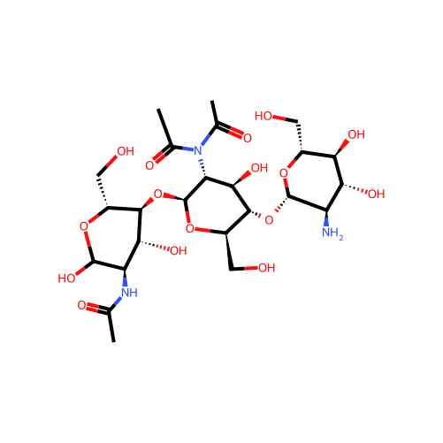 CC(=O)N[C@H]1C(O)O[C@H](CO)[C@@H](O[C@@H]2O[C@H](CO)[C@@H](O[C@@H]3O[C@H](CO)[C@@H](O)[C@H](O)[C@H]3N)[C@H](O)[C@H]2N(C(C)=O)C(C)=O)[C@@H]1O